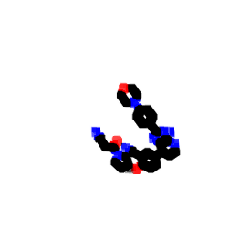 N#CCC(=O)N1CC[C@@H](Oc2ccc(-c3ccnc4[nH]c(-c5ccc(N6CCOCC6)cc5)nc34)cc2C#N)C1